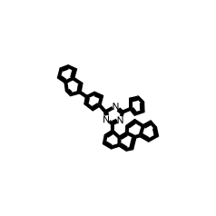 c1ccc(-c2nc(-c3ccc(-c4ccc5ccccc5c4)cc3)nc(-c3cccc4ccc5c6ccccc6ccc5c34)n2)cc1